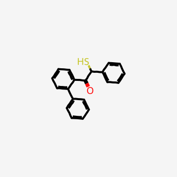 O=C(c1ccccc1-c1ccccc1)C(S)c1ccccc1